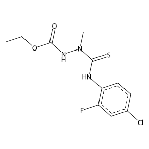 CCOC(=O)NN(C)C(=S)Nc1ccc(Cl)cc1F